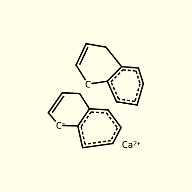 C1=CCc2ccccc2[CH-]1.C1=CCc2ccccc2[CH-]1.[Ca+2]